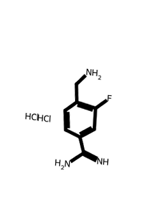 Cl.Cl.N=C(N)c1ccc(CN)c(F)c1